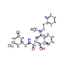 CN(CCc1ccccn1)c1nc(C(=O)NCc2cc(Cl)cc(Cl)c2)c(O)c2ncccc12